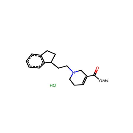 COC(=O)C1=CCCN(CCC2CCc3ccccc32)C1.Cl